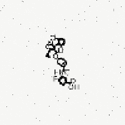 O=C(O)c1ccc(F)c(NC(=O)C2CC3CC(OCc4c(-c5c(Cl)cccc5Cl)noc4C4CC4)CC2C3)c1